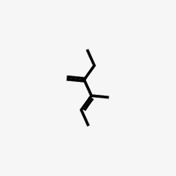 C=C(CC)/C(C)=C/C